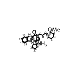 COC1CCCCN1CCCNC(=O)[C@@H](Cc1ccccc1)NC(=O)C1(N)CCCC1